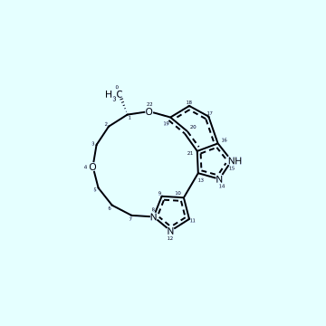 C[C@H]1CCOCCCn2cc(cn2)-c2n[nH]c3ccc(cc23)O1